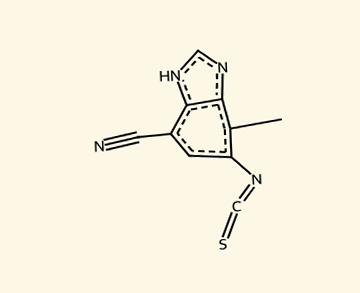 Cc1c(N=C=S)cc(C#N)c2[nH]cnc12